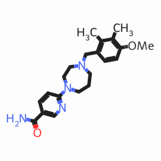 COc1ccc(CN2CCCN(c3ccc(C(N)=O)cn3)CC2)c(C)c1C